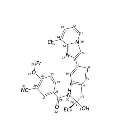 CC[C@](O)(Cc1ccc(-c2cn3cccc(Cl)c3n2)cc1)NC(=O)c1ccc(OC(C)C)c(C#N)c1